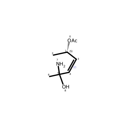 CC(=O)O[C@@H](C)/C=C\C(C)(N)O